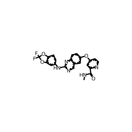 CNC(=O)c1cc(Oc2ccc3nc(Nc4ccc5c(c4)OC(F)(F)O5)ncc3c2)ccn1